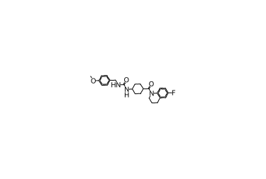 COc1ccc(CNC(=O)NC2CCC(C(=O)N3CCCc4cc(F)ccc43)CC2)cc1